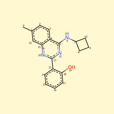 Cc1ccc2c(NC3CCC3)nc(-c3ccccc3O)nc2c1